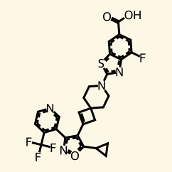 O=C(O)c1cc(F)c2nc(N3CCC4(C=C(c5c(-c6cnccc6C(F)(F)F)noc5C5CC5)C4)CC3)sc2c1